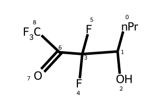 CCCC(O)C(F)(F)C(=O)C(F)(F)F